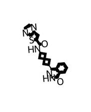 O=C(N[C@H]1CC2(C1)C[C@H](c1n[nH]c(=O)c3ccccc31)C2)c1cc2nccnc2s1